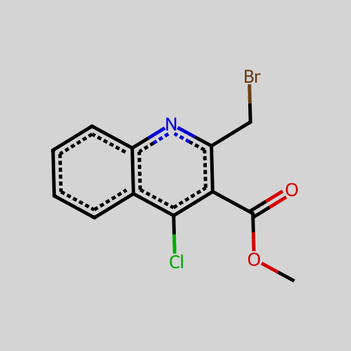 COC(=O)c1c(CBr)nc2ccccc2c1Cl